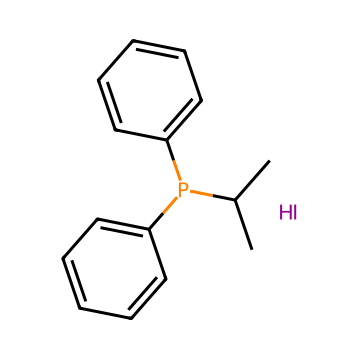 CC(C)P(c1ccccc1)c1ccccc1.I